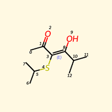 CC(=O)/C(SC(C)C)=C(\O)C(C)C